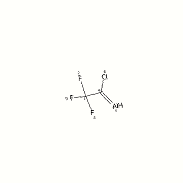 FC(F)(F)[C](=[AlH])Cl